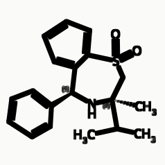 CC(C)[C@]1(C)CS(=O)(=O)c2ccccc2[C@H](c2ccccc2)N1